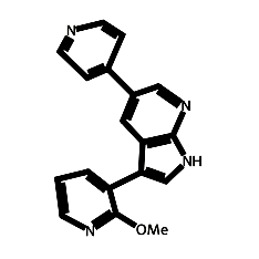 COc1ncccc1-c1c[nH]c2ncc(-c3ccncc3)cc12